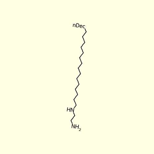 CCCCCCCCCCCCCCCCCCCCCCCCCNCCN